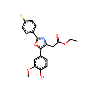 CCOC(=O)Cc1nc(-c2ccc(F)cc2)oc1-c1ccc(O)c(OC)c1